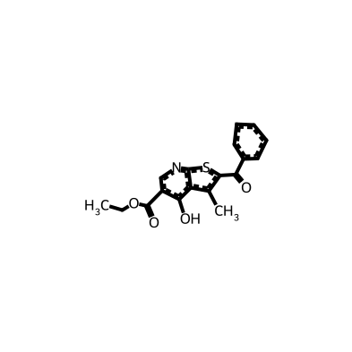 CCOC(=O)c1cnc2sc(C(=O)c3ccccc3)c(C)c2c1O